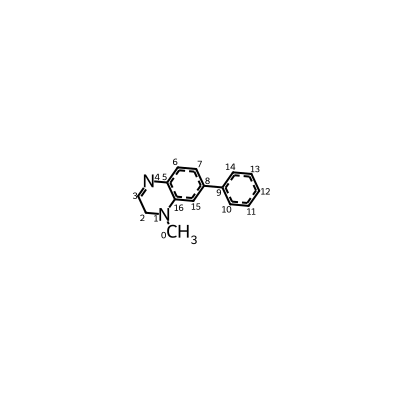 CN1CC=Nc2ccc(-c3ccccc3)cc21